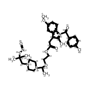 COc1ccc2c(c1)c(CC(=O)OCCOC(C)N1CCN(CC(C)(C)SN=O)CC1)c(C)n2C(=O)c1ccc(Cl)cc1